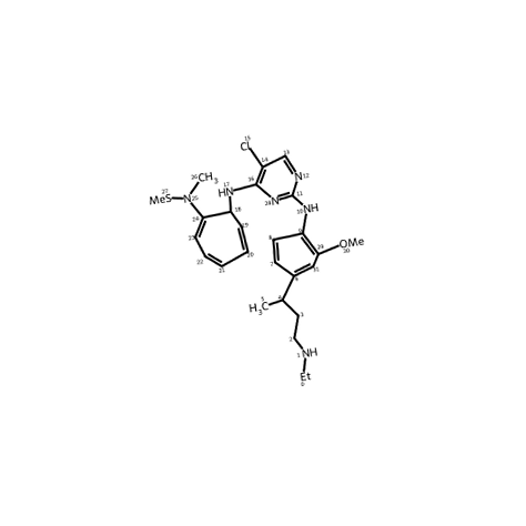 CCNCCC(C)c1ccc(Nc2ncc(Cl)c(NC3C=CC=CC=C3N(C)SC)n2)c(OC)c1